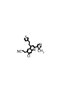 Cn1cncc1-c1cc(CCc2ccsc2)c2cc(CCC#N)c(Cl)cc2n1